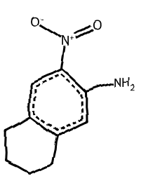 Nc1cc2c(cc1[N+](=O)[O-])CCCC2